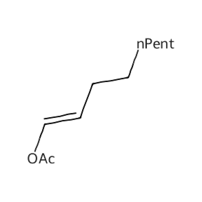 CCCCCCCC=COC(C)=O